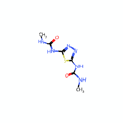 CNC(=O)Nc1nnc(NC(=O)NC)s1